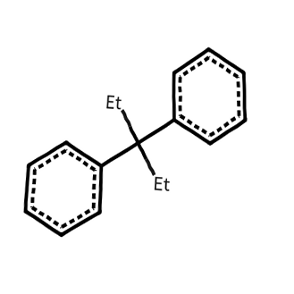 CCC(CC)(c1ccccc1)c1ccccc1